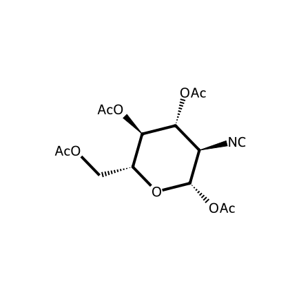 [C-]#[N+][C@H]1[C@H](OC(C)=O)O[C@H](COC(C)=O)[C@@H](OC(C)=O)[C@@H]1OC(C)=O